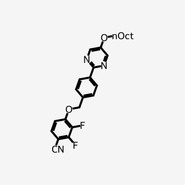 CCCCCCCCOc1cnc(-c2ccc(COc3ccc(C#N)c(F)c3F)cc2)nc1